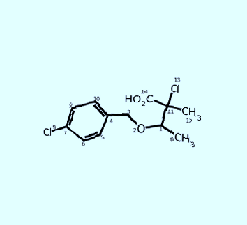 CC(OCc1ccc(Cl)cc1)C(C)(Cl)C(=O)O